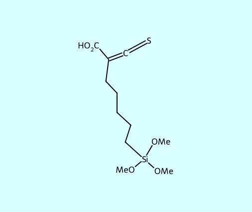 CO[Si](CCCCCC(=C=S)C(=O)O)(OC)OC